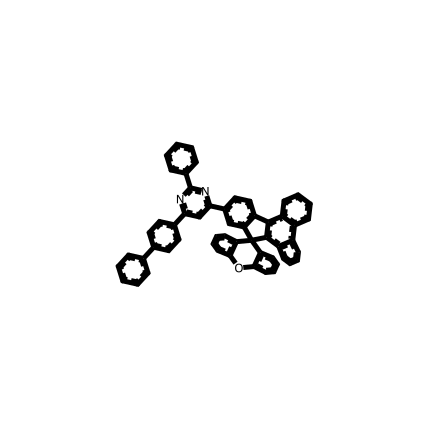 c1ccc(-c2ccc(-c3cc(-c4ccc5c(c4)C4(c6ccccc6Oc6ccccc64)c4c-5c5ccccc5c5ccccc45)nc(-c4ccccc4)n3)cc2)cc1